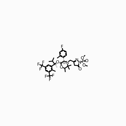 COP(=O)(OC)N1N=C(CN2[C@@H](c3ccc(F)cc3C)[C@@H](O[C@@](C)(c3cc(C(F)(F)F)cc(C(F)(F)F)c3C)C(C)C)OC(C)C2(C)C)CC1=O